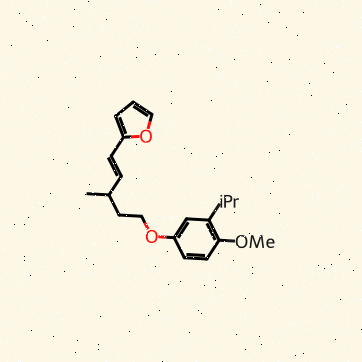 COc1ccc(OCCC(C)/C=C/c2ccco2)cc1C(C)C